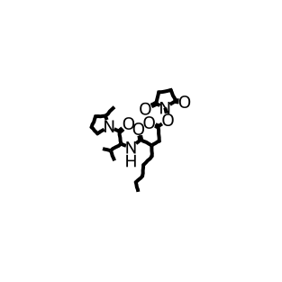 CCCCCC(CC(=O)ON1C(=O)CCC1=O)C(=O)NC(C(=O)N1CCCC1C)C(C)C